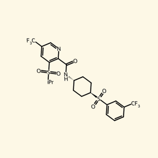 CC(C)S(=O)(=O)c1cc(C(F)(F)F)cnc1C(=O)N[C@H]1CC[C@H](S(=O)(=O)c2cccc(C(F)(F)F)c2)CC1